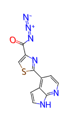 [N-]=[N+]=NC(=O)c1csc(-c2ccnc3[nH]ccc23)n1